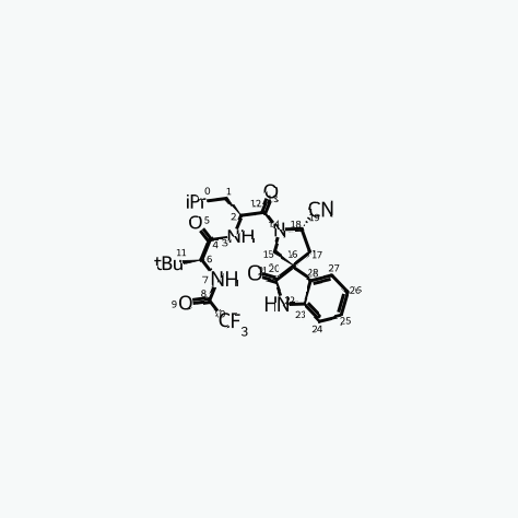 CC(C)C[C@H](NC(=O)[C@@H](NC(=O)C(F)(F)F)C(C)(C)C)C(=O)N1C[C@]2(C[C@H]1C#N)C(=O)Nc1ccccc12